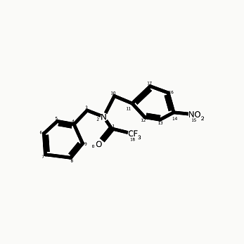 O=C(N(Cc1ccccc1)Cc1ccc([N+](=O)[O-])cc1)C(F)(F)F